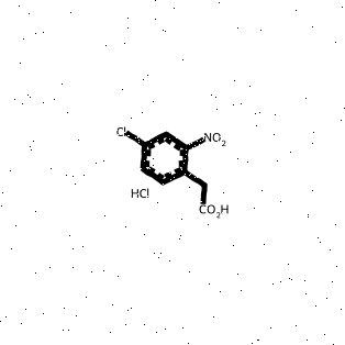 Cl.O=C(O)Cc1ccc(Cl)cc1[N+](=O)[O-]